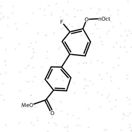 CCCCCCCCOc1ccc(-c2ccc(C(=O)OC)cc2)cc1F